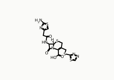 Nc1nc(CC(=O)NC2C(=O)N3C(C(=O)O)=C(CSc4nncs4)CS[C@@H]23)cs1